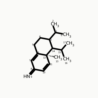 CC(C)C1CCC2=CC(=N)C=C[C@]2(C)C1C(C)C